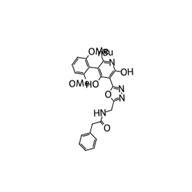 CCCCc1nc(O)c(-c2nnc(CNC(=O)Cc3ccccc3)o2)c(O)c1-c1c(OC)cccc1OC